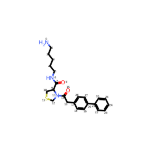 NCCCCCNC(=O)C1CSCN1C(=O)Cc1ccc(-c2ccccc2)cc1